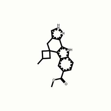 COC(=O)c1ccc2[nH]c3c(c2c1)C1(Cc2c[nH]nc2-3)CC(C)C1